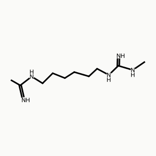 CNC(=N)NCCCCCCNC(C)=N